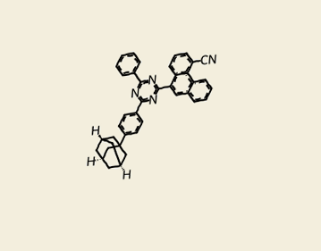 N#Cc1cccc2c(-c3nc(-c4ccccc4)nc(-c4ccc(C56C[C@H]7C[C@H](C5)C[C@@H](C6)C7)cc4)n3)cc3ccccc3c12